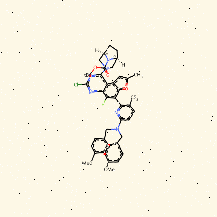 COc1ccc(CN(Cc2ccc(OC)cc2)c2ccc(C(F)(F)F)c(-c3c(F)c4nc(Cl)nc(N5C[C@H]6CC[C@@H](C5)N6C(=O)OC(C)(C)C)c4c4cc(C)oc34)n2)cc1